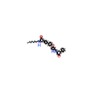 CCCCCCCCNC1=CC(=O)CC(c2ccc(-c3ccc(Oc4cccc(CNC5=CC(=O)CC(c6ccccc6)C5)c4)cc3)cc2)C1